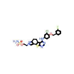 NS(=O)(=O)OCCn1cc2c(n1)CCc1c-2sc2ncnc(Nc3ccc(OCc4cccc(F)c4)c(Cl)c3)c12